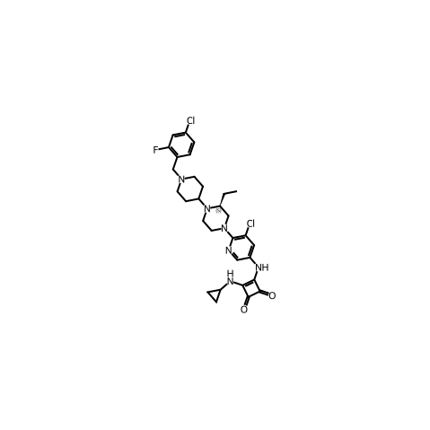 CC[C@H]1CN(c2ncc(Nc3c(NC4CC4)c(=O)c3=O)cc2Cl)CCN1C1CCN(Cc2ccc(Cl)cc2F)CC1